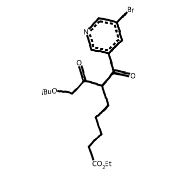 CCOC(=O)CCCCC(C(=O)COCC(C)C)C(=O)c1cncc(Br)c1